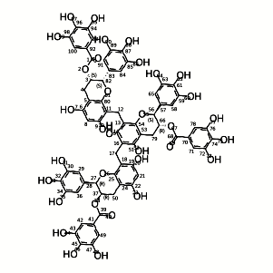 O=C(O[C@H]1Cc2c(O)cc(O)c(Cc3c(O)c(Cc4c(O)cc(O)c5c4O[C@H](c4cc(O)c(O)c(O)c4)[C@H](OC(=O)c4cc(O)c(O)c(O)c4)C5)c(O)c4c3O[C@@H](c3cc(O)c(O)c(O)c3)[C@H](OC(=O)c3cc(O)c(O)c(O)c3)C4)c2O[C@H]1c1cc(O)c(O)c(O)c1)c1cc(O)c(O)c(O)c1